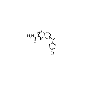 CCc1ccc(C(=O)N2CCc3[c]nc(C(N)=O)nc3C2)cc1